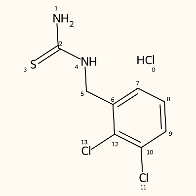 Cl.NC(=S)NCc1cccc(Cl)c1Cl